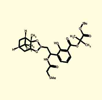 CSCC(=O)NC(CB1OC2C[C@@H]3C[C@@H](C3(C)C)[C@]2(C)O1)c1cccc(C(=O)OC(C)(C)C(=O)OC(C)(C)C)c1O